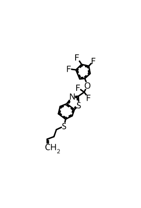 C=CCCSc1ccc2nc(C(F)(F)Oc3cc(F)c(F)c(F)c3)sc2c1